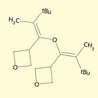 CC(=C(OC(=C(C)C(C)(C)C)C1COC1)C1COC1)C(C)(C)C